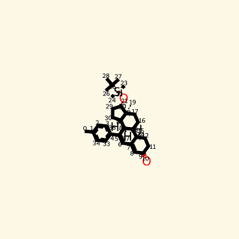 Cc1ccc(C2=CC3=CC(=O)CC[C@]3(C)[C@H]3CC[C@]4(C)[C@@H](O[Si](C)(C)C(C)(C)C)CC[C@H]4[C@H]23)cc1